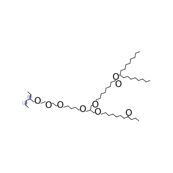 C/C=C\C(=C/C)COCCOCCOCCCCCOCC(COCCCCCCCC(=O)CCC)COCCCCCCCC(=O)OC(CCCCCCCC)CCCCCCCC